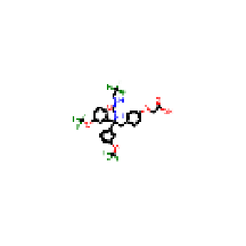 O=C(O)COc1ccc(CC(NC(=O)NCC(F)(F)F)(c2cccc(OC(F)(F)F)c2)c2cccc(OC(F)(F)F)c2)cc1